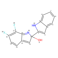 OC1(c2cc3ccccc3[nH]2)C=c2ccc(F)c(F)c2=N1